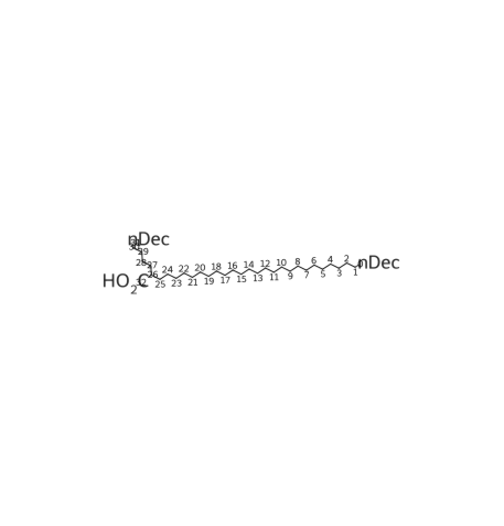 CCCCCCCCCCCCCCCCCCCCCCCCCCCCCCCCCCCC(CCCCCCCCCCCCCC)C(=O)O